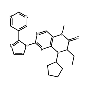 CCC1C(=O)N(C)c2cnc(-n3ccnc3-c3cncnc3)nc2N1C1CCCC1